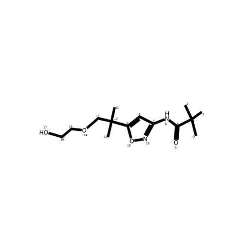 CC(C)(C)C(=O)Nc1cc(C(C)(C)COCCO)on1